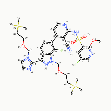 COc1ncc(F)cc1S(=O)(=O)Nc1nccc(-c2ccc3c(-c4nccn4COCCS(C)(C)C)nn(COCCS(C)(C)C)c3c2F)c1C#N